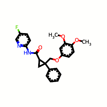 COc1ccc(OCC2(c3ccccc3)CC2C(=O)Nc2ccc(F)cn2)cc1OC